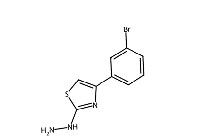 NNc1nc(-c2cccc(Br)c2)cs1